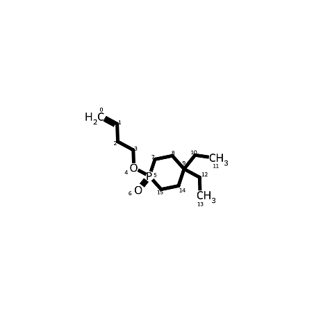 C=CCCOP1(=O)CCC(CC)(CC)CC1